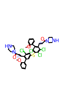 COc1ccccc1-c1cc(Sc2cc(-c3ccccc3OC)c(/C=C/C(=O)N3CCNCC3)c(Cl)c2Cl)c(Cl)c(Cl)c1/C=C/C(=O)N1CCNCC1